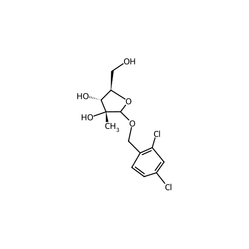 C[C@]1(O)C(OCc2ccc(Cl)cc2Cl)O[C@H](CO)[C@H]1O